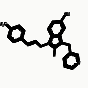 Cc1c(Cc2cccnc2)c2cc(O)ccc2n1C/C=C/c1ccc(C(F)(F)F)cc1